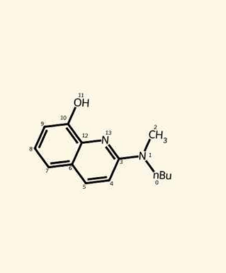 CCCCN(C)c1ccc2cccc(O)c2n1